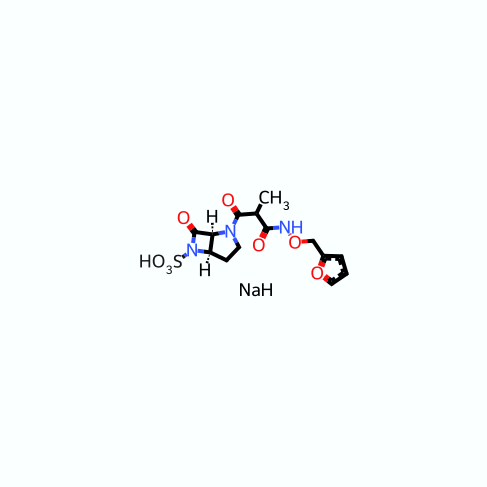 CC(C(=O)NOCc1ccco1)C(=O)N1CC[C@@H]2[C@H]1C(=O)N2S(=O)(=O)O.[NaH]